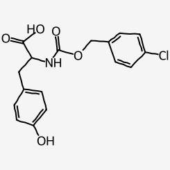 O=C(NC(Cc1ccc(O)cc1)C(=O)O)OCc1ccc(Cl)cc1